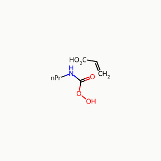 C=CC(=O)O.CCCNC(=O)OO